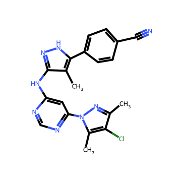 Cc1nn(-c2cc(Nc3n[nH]c(-c4ccc(C#N)cc4)c3C)ncn2)c(C)c1Cl